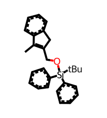 CC1=C(CO[Si](c2ccccc2)(c2ccccc2)C(C)(C)C)Cc2ccccc21